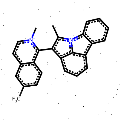 Cc1c(-c2c3ccc(C(F)(F)F)cc3cc[n+]2C)c2cccc3c4ccccc4n1c23